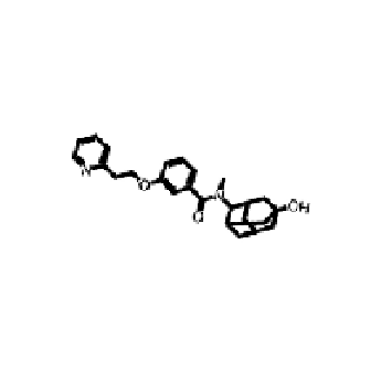 CN(C(=O)c1cccc(OCCc2ccccn2)c1)C1C2CC3CC1CC(O)(C3)C2